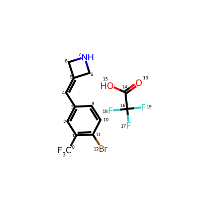 FC(F)(F)c1cc(C=C2CNC2)ccc1Br.O=C(O)C(F)(F)F